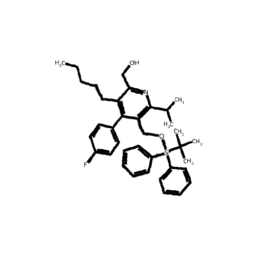 CCCCCc1c(CO)nc(C(C)C)c(CO[Si](c2ccccc2)(c2ccccc2)C(C)(C)C)c1-c1ccc(F)cc1